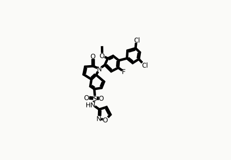 COc1cc(-c2cc(Cl)cc(Cl)c2)c(F)cc1-n1c(=O)ccc2cc(S(=O)(=O)Nc3ccon3)ccc21